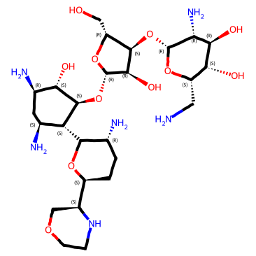 NC[C@@H]1O[C@H](O[C@H]2[C@@H](O)[C@H](O[C@@H]3[C@@H](O)[C@H](N)C[C@H](N)[C@H]3C3O[C@H]([C@@H]4COCCN4)CC[C@H]3N)O[C@@H]2CO)[C@H](N)[C@@H](O)[C@@H]1O